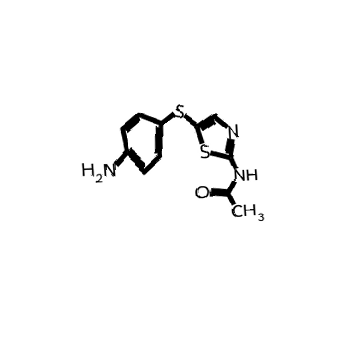 CC(=O)Nc1ncc(Sc2ccc(N)cc2)s1